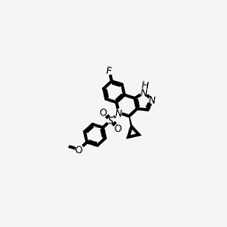 COc1ccc(S(=O)(=O)N2c3ccc(F)cc3-c3[nH]ncc3[C@H]2C2CC2)cc1